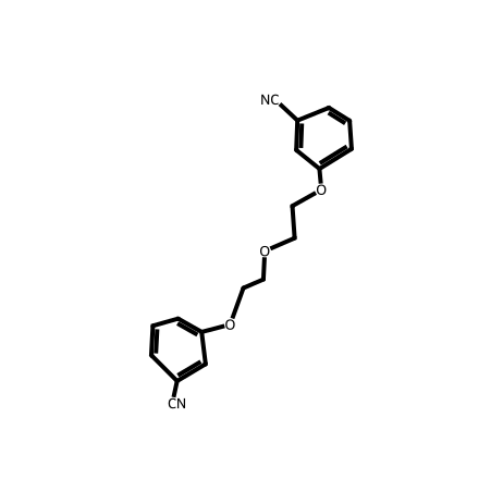 N#Cc1cccc(OCCOCCOc2cccc(C#N)c2)c1